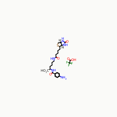 Nc1ccc(C(=O)NC(CCCCNC(=O)CCCCC2SC[C@@H]3NC(=O)N[C@H]23)C(=O)O)cc1.O=C(O)C(F)(F)F